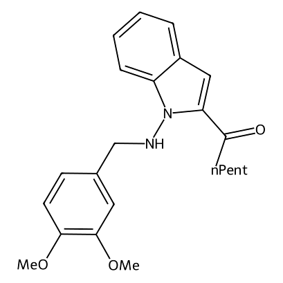 CCCCCC(=O)c1cc2ccccc2n1NCc1ccc(OC)c(OC)c1